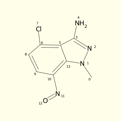 Cn1nc(N)c2c(Cl)ccc(N=O)c21